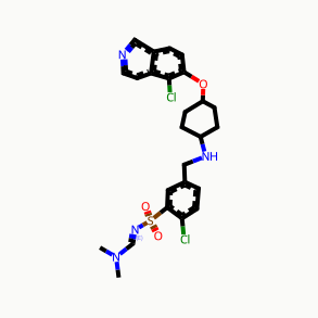 CN(C)/C=N/S(=O)(=O)c1cc(CNC2CCC(Oc3ccc4cnccc4c3Cl)CC2)ccc1Cl